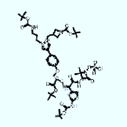 CC(C)(C)OC(=O)NCCCn1cc(-c2ccc(OC[C@H](O/N=C(\C(=O)N[C@H]3C(=O)N(OS(=O)(=O)O)C3(C)C)c3csc(NC(=O)OC(C)(C)C)n3)C(=O)OC(C)(C)C)cc2)c[n+]1CC1CN(C(=O)OC(C)(C)C)C1